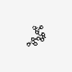 c1ccc(-n2c3ccccc3c3ccc(N(c4cccc(-c5cccc6c5c5ccccc5n6-c5ccccc5)c4)c4cccc5sc6ccccc6c45)cc32)cc1